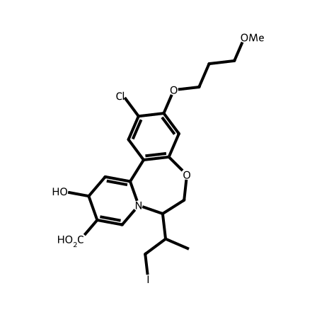 COCCCOc1cc2c(cc1Cl)C1=CC(O)C(C(=O)O)=CN1C(C(C)CI)CO2